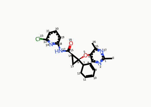 Cc1ncc(O[C@@]2(C3C=CC=CC3)C[C@H]2C(=O)Nc2cccc(Cl)n2)c(C)n1